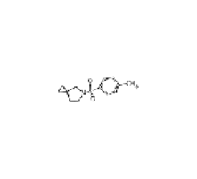 Cc1ccc(S(=O)(=O)N2CCC3(CC3)C2)cc1